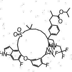 CC(C)OC(=O)C(C)Cc1cccc(C2(CNCC(F)(F)F)CCCC(C)(C)CS(=O)(=O)CCc3c(c(F)cc4[nH]ccc34)Oc3ccc(F)c(c3)-c3nc2nn3C)c1